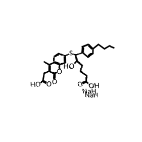 CCCCc1ccc(C(Sc2ccc3c(C)c(CC(=O)O)c(=O)oc3c2)C(O)CCCC(=O)O)cc1.[NaH].[NaH]